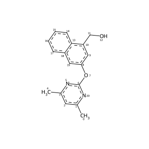 Cc1cc(C)nc(Oc2cc(CO)c3ccccc3c2)n1